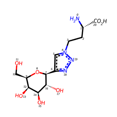 N[C@@H](CCn1cc([C@@H]2O[C@H](CO)[C@H](O)[C@H](O)[C@H]2O)nn1)C(=O)O